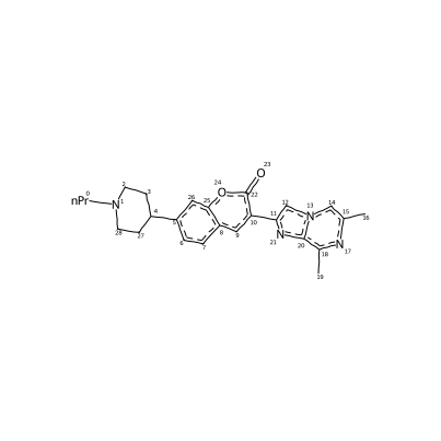 CCCN1CCC(c2ccc3cc(-c4cn5cc(C)nc(C)c5n4)c(=O)oc3c2)CC1